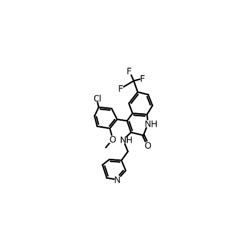 COc1ccc(Cl)cc1-c1c(NCc2cccnc2)c(=O)[nH]c2ccc(C(F)(F)F)cc12